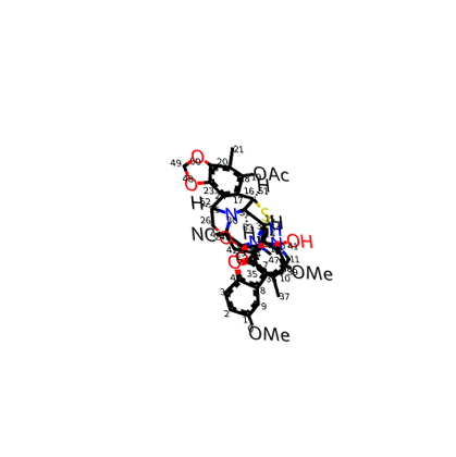 COc1ccc2oc3c(c2c1)CCN[C@]31CS[C@@H]2c3c(OC(C)=O)c(C)c4c(c3[C@H](COC1=O)N1[C@@H]2[C@@H]2c3c(cc(C)c(OC)c3O)CC1(C#N)CN2C)OCO4